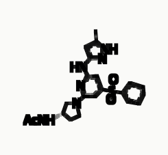 CC(=O)N[C@H]1CCN(c2cc(S(=O)(=O)c3ccccc3)cc(Nc3cc(C)[nH]n3)n2)C1